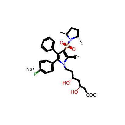 CC(C)c1c(S(=O)(=O)N2[C@@H](C)CC[C@@H]2C)c(-c2ccccc2)c(-c2ccc(F)cc2)n1CC[C@@H](O)C[C@@H](O)CC(=O)[O-].[Na+]